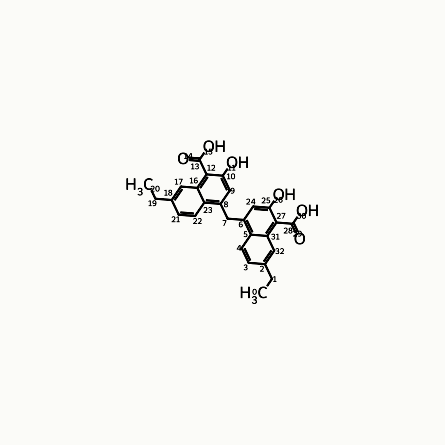 CCc1ccc2c(Cc3cc(O)c(C(=O)O)c4cc(CC)ccc34)cc(O)c(C(=O)O)c2c1